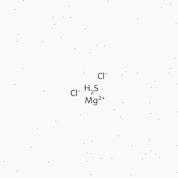 S.[Cl-].[Cl-].[Mg+2]